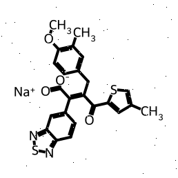 COc1ccc(CC(C(=O)c2cc(C)cs2)=C(C(=O)[O-])c2ccc3nsnc3c2)cc1C.[Na+]